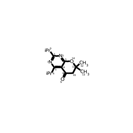 CC(C)c1nc2c(c(C(C)C)n1)C(=O)CC(C)(C)O2